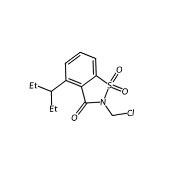 CCC(CC)c1cccc2c1C(=O)N(CCl)S2(=O)=O